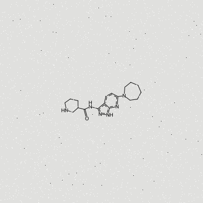 O=C(Nc1n[nH]c2nc(N3CCCCCC3)ccc12)C1CCCNC1